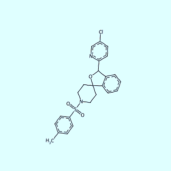 Cc1ccc(S(=O)(=O)N2CCC3(CC2)OC(c2ccc(Cl)cn2)c2ccccc23)cc1